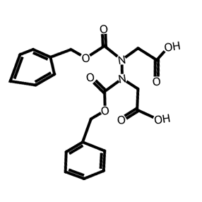 O=C(O)CN(C(=O)OCc1ccccc1)N(CC(=O)O)C(=O)OCc1ccccc1